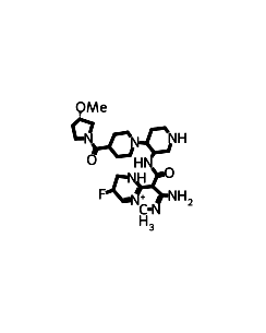 C/N=C(/N)C(C(=O)NC1CNCCC1N1CCC(C(=O)N2CC[C@H](OC)C2)CC1)C1=[N+]=CC(F)CN1